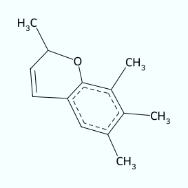 Cc1cc2c(c(C)c1C)OC(C)C=C2